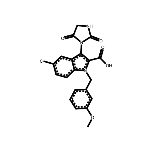 COc1cccc(Cn2c(C(=O)O)c(N3C(=O)CNC3=O)c3cc(Cl)ccc32)c1